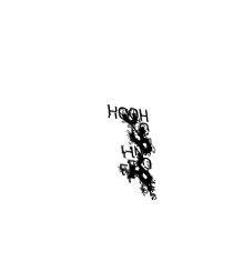 O=C(Cc1ccc(C(F)(F)F)cc1C(F)(F)F)Nc1cccc2c(=O)n(C(CO)CO)ccc12